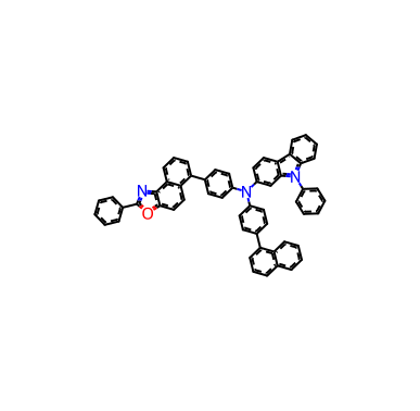 c1ccc(-c2nc3c(ccc4c(-c5ccc(N(c6ccc(-c7cccc8ccccc78)cc6)c6ccc7c8ccccc8n(-c8ccccc8)c7c6)cc5)cccc43)o2)cc1